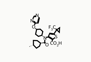 C[C@H]1CC[C@H](C(=O)N(c2cc(C3(C(F)(F)F)CC3)sc2C(=O)O)[C@H]2CC[C@H](Oc3ccncn3)CC2)CC1